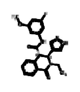 O=C(Nc1cc(F)cc(OC(F)(F)F)c1)[C@H]1c2ccccc2C(=O)N(CC(F)(F)F)[C@@H]1c1cn[nH]c1